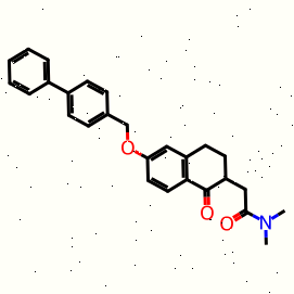 CN(C)C(=O)CC1CCc2cc(OCc3ccc(-c4ccccc4)cc3)ccc2C1=O